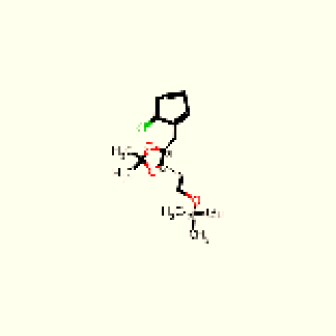 CC1(C)O[C@@H](CCO[Si](C)(C)C(C)(C)C)[C@H](Cc2ccccc2Cl)O1